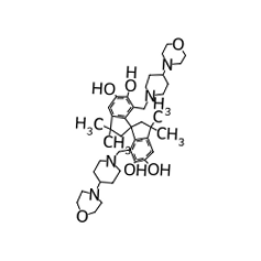 CC1(C)CC2(CC(C)(C)c3cc(O)c(O)c(CN4CCC(N5CCOCC5)CC4)c32)c2c1cc(O)c(O)c2CN1CCC(N2CCOCC2)CC1